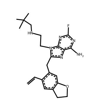 C=Cc1cc2c(cc1Cc1nc3c(N)nc(F)nc3n1CCNCC(C)(C)C)OCC2